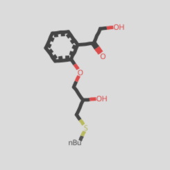 CCCCSCC(O)COc1ccccc1C(=O)CO